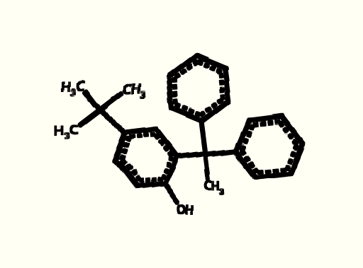 CC(C)(C)c1ccc(O)c(C(C)(c2ccccc2)c2ccccc2)c1